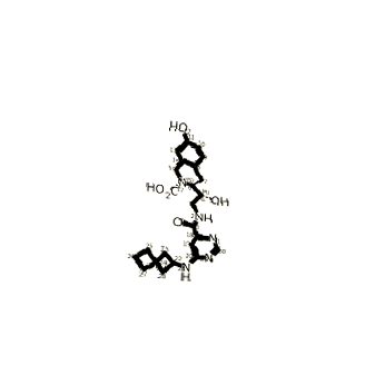 O=C(NC[C@@H](O)[C@@H]1Cc2ccc(O)cc2CN1C(=O)O)c1cc(NC2CC3(CCC3)C2)ncn1